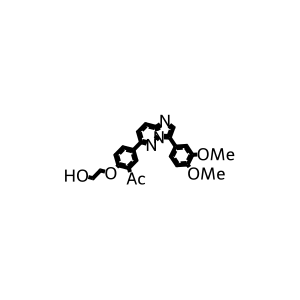 COc1ccc(-c2cnc3ccc(-c4ccc(OCCO)c(C(C)=O)c4)nn23)cc1OC